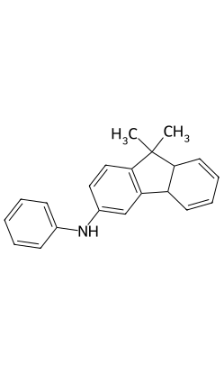 CC1(C)c2ccc(Nc3ccccc3)cc2C2C=CC=CC21